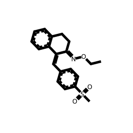 CCON=C1CCc2ccccc2C1=Cc1ccc(S(C)(=O)=O)cc1